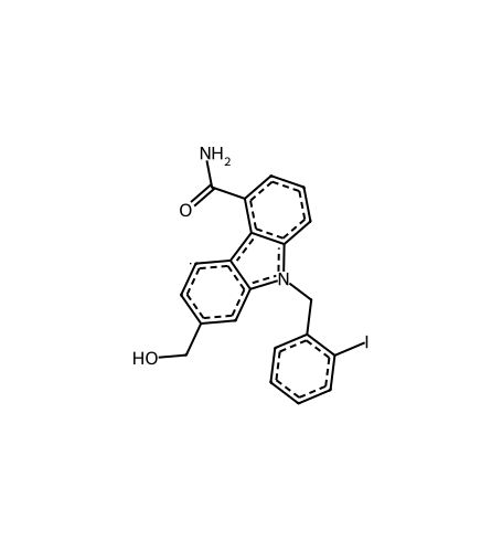 NC(=O)c1cccc2c1c1[c]cc(CO)cc1n2Cc1ccccc1I